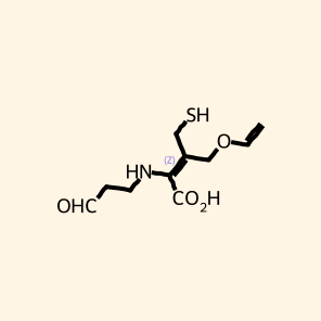 C=COC/C(CS)=C(/NCCC=O)C(=O)O